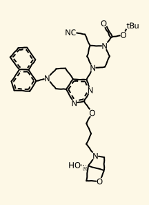 CC(C)(C)OC(=O)N1CCN(c2nc(OCCCN3CC4OC[C@]43O)nc3c2CCN(c2cccc4ccccc24)C3)CC1CC#N